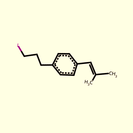 CC(C)=Cc1ccc(CCCI)cc1